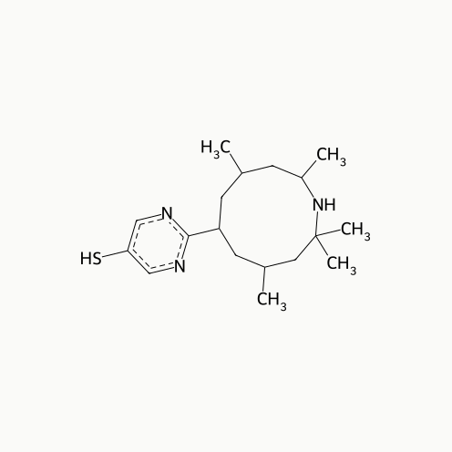 CC1CC(C)NC(C)(C)CC(C)CC(c2ncc(S)cn2)C1